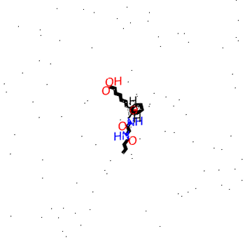 CCCC(=O)NCC(=O)NC[C@H]1[C@@H](CCCCCCC(=O)O)[C@H]2CC[C@@H]1O2